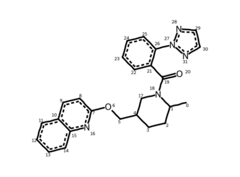 CC1CCC(COc2ccc3ccccc3n2)CN1C(=O)c1ccccc1-n1nccn1